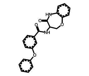 O=C(NC1COc2ccccc2NC1=O)c1cccc(Oc2ccccc2)c1